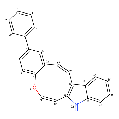 c1ccc(-c2ccc3occc4[nH]c5ccccc5c4ccc3c2)cc1